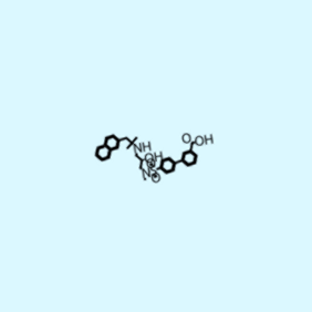 CN(C[C@H](O)CNC(C)(C)Cc1ccc2ccccc2c1)S(=O)(=O)c1ccc(-c2cccc(C(=O)O)c2)cc1